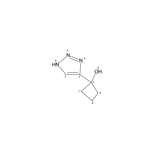 OC1(c2c[nH]nn2)CCC1